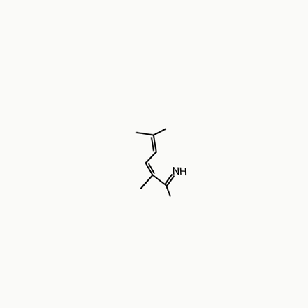 CC(=N)/C(C)=C\C=C(C)C